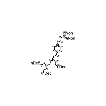 CCCCCCCCCCCCC(CCCCCCCCCCCC)CCN(CCCCCCCCCCCC)CCN1CCN(CCCN(CCCCCCCCC)CCCCCCCCC)CC1